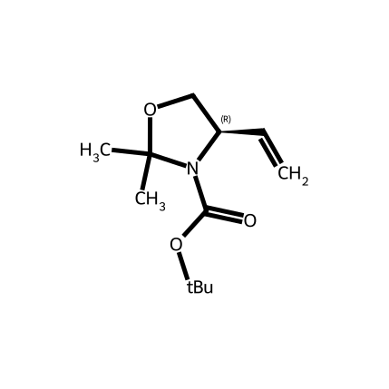 C=C[C@@H]1COC(C)(C)N1C(=O)OC(C)(C)C